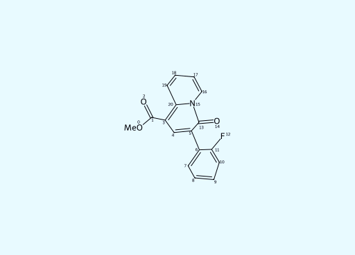 COC(=O)c1cc(-c2ccccc2F)c(=O)n2ccccc12